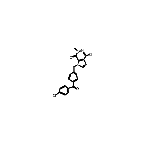 Cn1nc(Cl)c2ncn(Cc3ccc(C(=O)c4ccc(Cl)cc4)cc3)c2c1=O